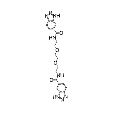 O=C(NCCOCCOCCNC(=O)c1ccc2nn[nH]c2c1)c1ccc2nn[nH]c2c1